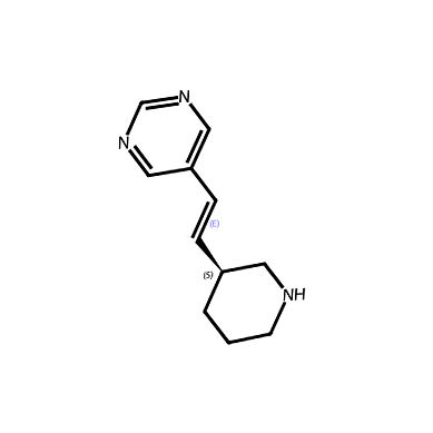 C(=C\[C@@H]1CCCNC1)/c1cncnc1